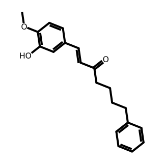 COc1ccc(C=CC(=O)CCCCc2ccccc2)cc1O